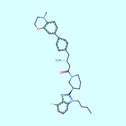 CCCCn1c([C@@H]2CCCN(C(=O)C[C@H](N)Cc3ccc(-c4ccc5c(c4)OCCN5C)cc3)C2)nc2c(F)cccc21